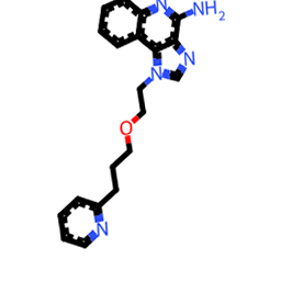 Nc1nc2ccccc2c2c1ncn2CCOCCCc1ccccn1